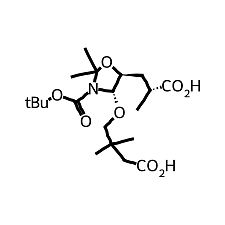 C[C@H](C[C@@H]1OC(C)(C)N(C(=O)OC(C)(C)C)[C@H]1OCC(C)(C)CC(=O)O)C(=O)O